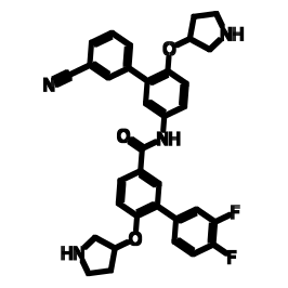 N#Cc1cccc(-c2cc(NC(=O)c3ccc(OC4CCNC4)c(-c4ccc(F)c(F)c4)c3)ccc2OC2CCNC2)c1